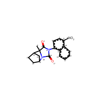 CC12C(=O)N(c3ccc([N+](=O)[O-])c4ccccc34)C(=O)N1C1CCC2C1